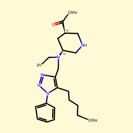 COCCCCc1c(CN(CC(C)C)[C@@H]2CNC[C@H](C(=O)OC)C2)nnn1-c1ccccc1